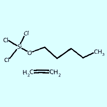 C=C.CCCCCO[Si](Cl)(Cl)Cl